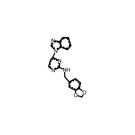 c1ccc2c(c1)ncn2-c1ccnc(NCc2ccc3c(c2)OCO3)n1